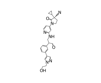 N#C[C@@]1(C2CC2)CCN(c2ccnc(NCC(C=O)c3cccc(-c4cnn(CCO)c4)c3)c2)C1=O